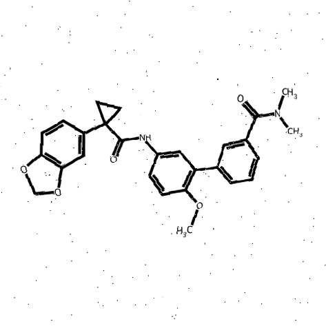 COc1ccc(NC(=O)C2(c3ccc4c(c3)OCO4)CC2)cc1-c1cccc(C(=O)N(C)C)c1